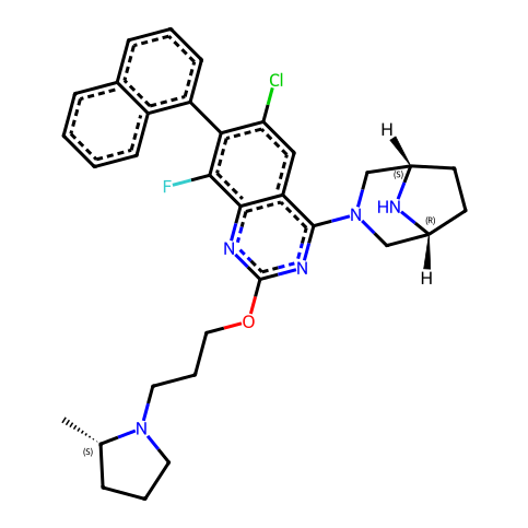 C[C@H]1CCCN1CCCOc1nc(N2C[C@H]3CC[C@@H](C2)N3)c2cc(Cl)c(-c3cccc4ccccc34)c(F)c2n1